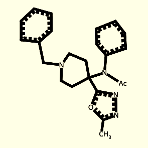 CC(=O)N(c1ccccc1)C1(c2nnc(C)o2)CCN(Cc2ccccc2)CC1